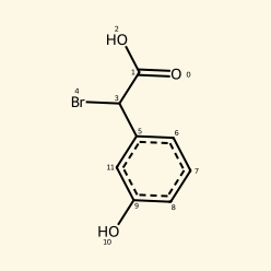 O=C(O)C(Br)c1cccc(O)c1